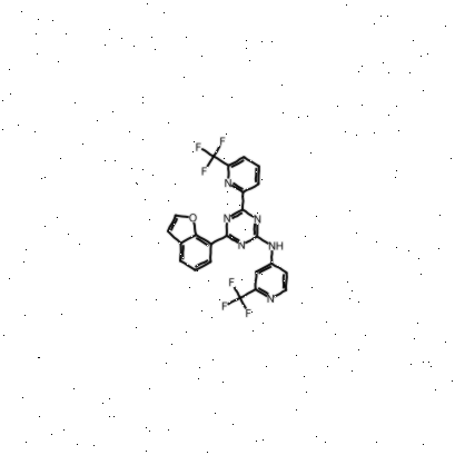 FC(F)(F)c1cc(Nc2nc(-c3cccc(C(F)(F)F)n3)nc(-c3cccc4ccoc34)n2)ccn1